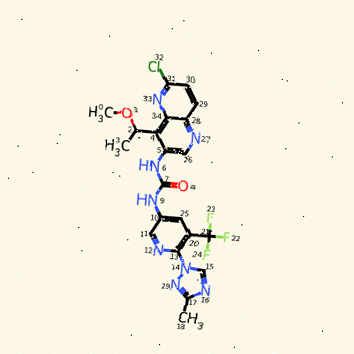 COC(C)c1c(NC(=O)Nc2cnc(-n3cnc(C)n3)c(C(F)(F)F)c2)cnc2ccc(Cl)nc12